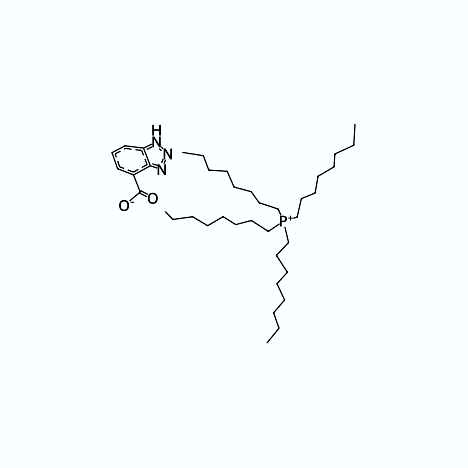 CCCCCCCC[P+](CCCCCCCC)(CCCCCCCC)CCCCCCCC.O=C([O-])c1cccc2[nH]nnc12